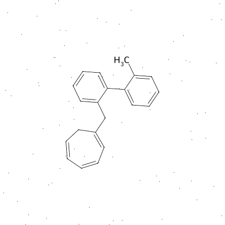 Cc1ccccc1-c1ccccc1CC1=CC=CC=CC1